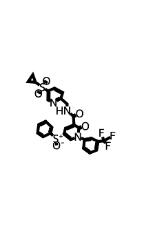 O=C(NCc1ccc(S(=O)(=O)C2CC2)cn1)c1cc([S+]([O-])c2ccccc2)cn(-c2cccc(C(F)(F)F)c2)c1=O